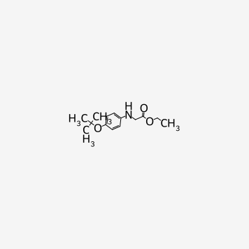 CCOC(=O)CNc1ccc(OC(C)(C)C)cc1